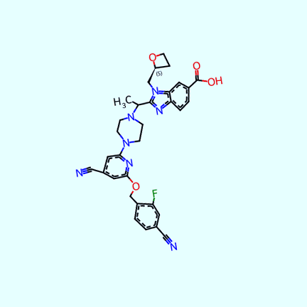 CC(c1nc2ccc(C(=O)O)cc2n1C[C@@H]1CCO1)N1CCN(c2cc(C#N)cc(OCc3ccc(C#N)cc3F)n2)CC1